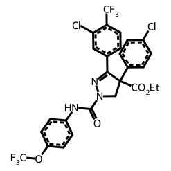 CCOC(=O)C1(c2ccc(Cl)cc2)CN(C(=O)Nc2ccc(OC(F)(F)F)cc2)N=C1c1ccc(C(F)(F)F)c(Cl)c1